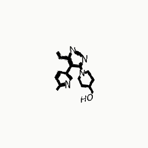 CCc1ncnc(N2CCC(CO)CC2)c1-c1ccc(C)nc1